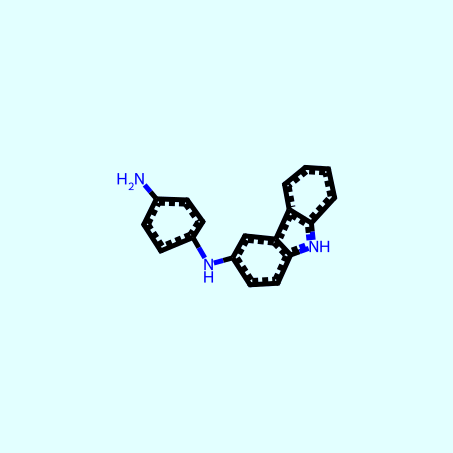 Nc1ccc(Nc2ccc3[nH]c4ccccc4c3c2)cc1